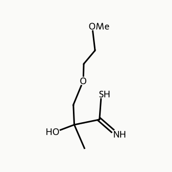 COCCOCC(C)(O)C(=N)S